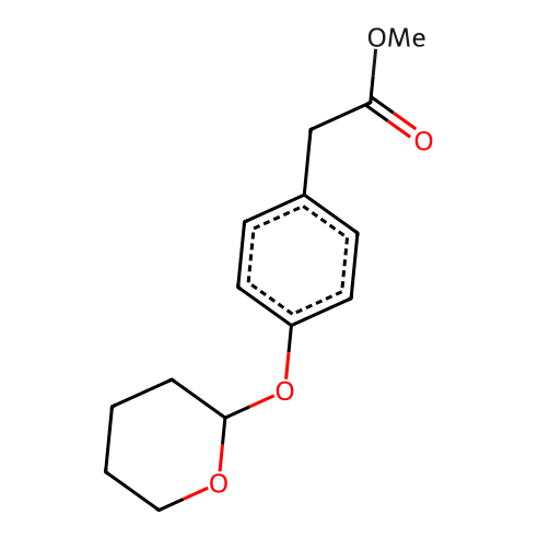 COC(=O)Cc1ccc(OC2CCCCO2)cc1